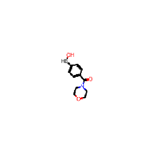 O=C(c1ccc(BO)cc1)N1CCOCC1